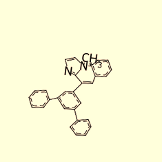 C[N+]12C=CN=C1C(c1cc(-c3ccccc3)cc(-c3ccccc3)c1)=Cc1ccccc12